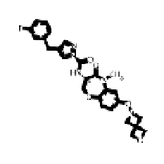 CN1C(=O)[C@@H](NC(=O)n2cc(Cc3cccc(F)c3)cn2)COc2ccc(ON3CC4(COC4)C3)cc21